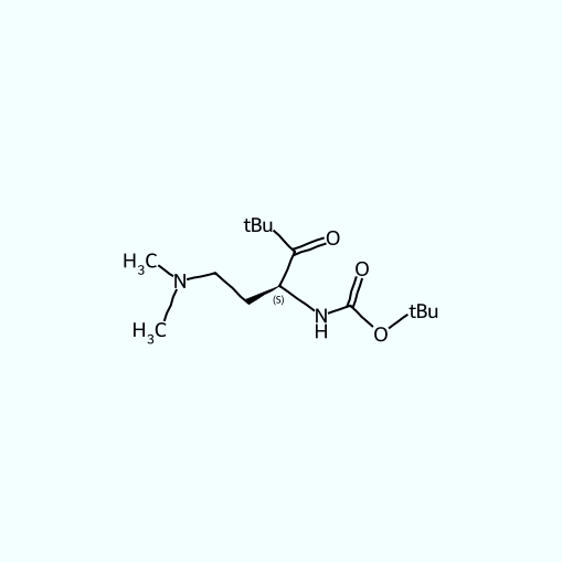 CN(C)CC[C@H](NC(=O)OC(C)(C)C)C(=O)C(C)(C)C